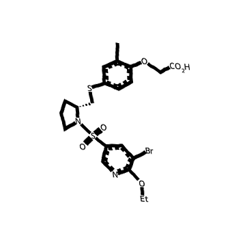 CCOc1ncc(S(=O)(=O)N2CCC[C@@H]2CSc2ccc(OCC(=O)O)c(C)c2)cc1Br